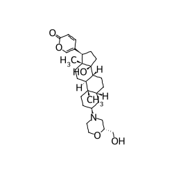 C[C@]12CC[C@H](N3CCO[C@@H](CO)C3)C[C@H]1CC[C@@H]1[C@@H]2CC[C@]2(C)[C@@H](c3ccc(=O)oc3)CC[C@]12O